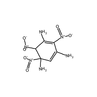 NC1=CC(N)([N+](=O)[O-])C([N+](=O)[O-])C(N)=C1[N+](=O)[O-]